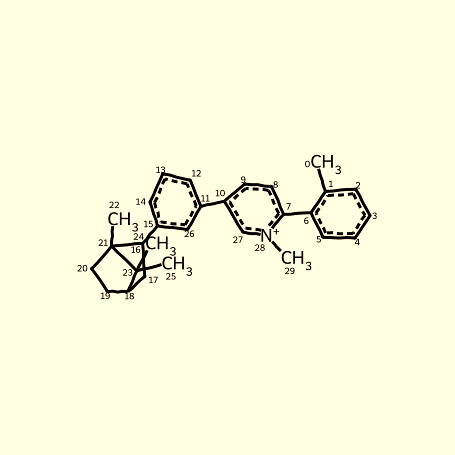 Cc1ccccc1-c1ccc(-c2cccc(C3CC4CCC3(C)C4(C)C)c2)c[n+]1C